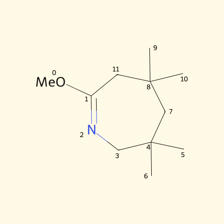 COC1=NCC(C)(C)CC(C)(C)C1